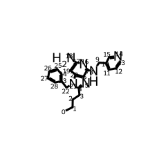 CCCCc1nc2c(NCc3cccnc3)nc(N)cc2n1Cc1ccccc1